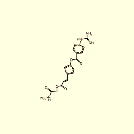 CCCCNC(=O)COC(=O)/C=C/c1ccc(OC(=O)c2ccc(NC(=N)N)cc2)cc1